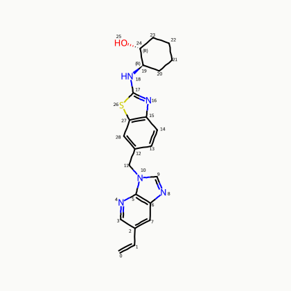 C=Cc1cnc2c(c1)ncn2Cc1ccc2nc(N[C@@H]3CCCC[C@H]3O)sc2c1